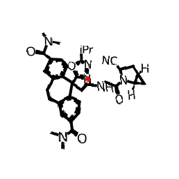 CC(C)c1nnc(C2(C[C@H](C)NCC(=O)N3C(C#N)C[C@@H]4C[C@@H]43)c3ccc(C(=O)N(C)C)cc3CCc3cc(C(=O)N(C)C)ccc32)o1